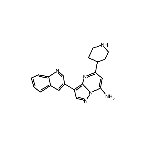 Nc1cc(C2CCNCC2)nc2c(-c3cnc4ccccc4c3)cnn12